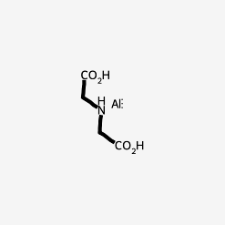 O=C(O)CNCC(=O)O.[Al]